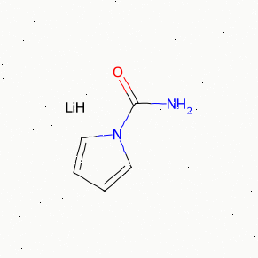 NC(=O)n1cccc1.[LiH]